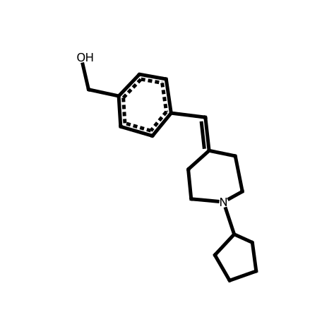 OCc1ccc(C=C2CCN(C3CCCC3)CC2)cc1